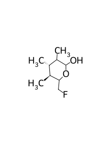 CC1C(O)OC(CF)[C@@H](C)[C@@H]1C